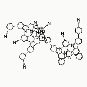 Cc1cc(-c2c(-n3c4cc(-c5cccc(C#N)c5)ccc4c4ccc(-c5cccc(C#N)c5)cc43)cc(C#N)cc2-n2c3cc(-c4cccc(C#N)c4)ccc3c3cc(-c4cc(-c5ccc6c7ccccc7n(-c7cc(C#N)cc(-n8c9ccccc9c9ccc(-c%10ccc(C#N)cc%10)cc98)c7-c7cc(-c8ccccc8)nc(-c8ccccc8)n7)c6c5)ccc4C#N)c(-c4cccc(C#N)c4)cc32)nc(C)n1